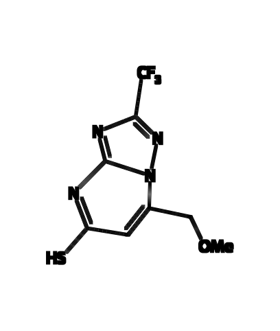 COCc1cc(S)nc2nc(C(F)(F)F)nn12